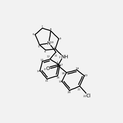 O=C(NC1CC2CCC(C1)N2Cc1ccccc1)c1ccc(Cl)cc1